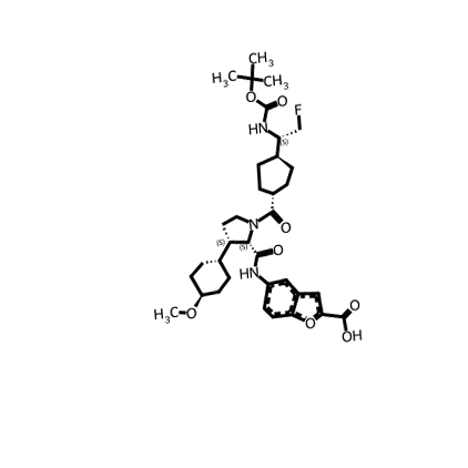 CO[C@H]1CC[C@H]([C@@H]2CCN(C(=O)[C@H]3CC[C@H]([C@@H](CF)NC(=O)OC(C)(C)C)CC3)[C@@H]2C(=O)Nc2ccc3oc(C(=O)O)cc3c2)CC1